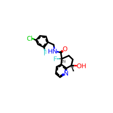 C[C@]1(O)CC[C@@](F)(C(=O)NCc2ccc(Cl)cc2F)c2cccnc21